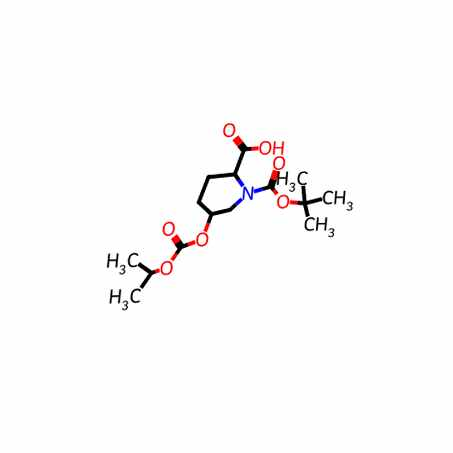 CC(C)OC(=O)OC1CCC(C(=O)O)N(C(=O)OC(C)(C)C)C1